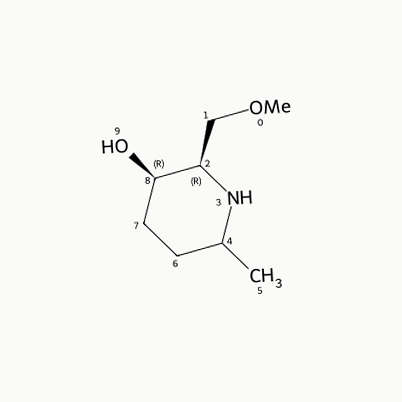 COC[C@H]1NC(C)CC[C@H]1O